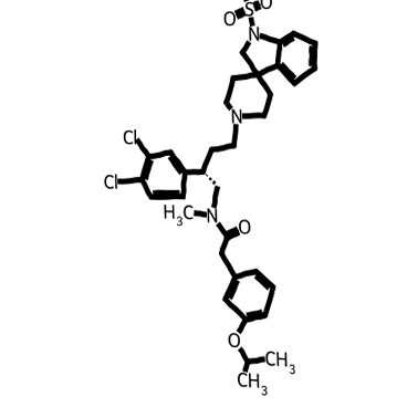 CC(C)Oc1cccc(CC(=O)N(C)C[C@@H](CCN2CCC3(CC2)CN(S(C)(=O)=O)c2ccccc23)c2ccc(Cl)c(Cl)c2)c1